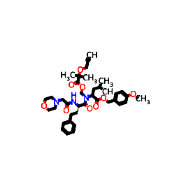 C#CCOC(C)(C)C(=O)OCN(C(=O)[C@H](CCc1ccccc1)NC(=O)CN1CCOCC1)C(CC(C)C)C(=O)OCc1ccc(OC)cc1